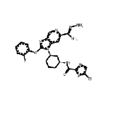 N/N=C(\N)c1cc2c(cn1)nc(Oc1ccccc1F)n2[C@@H]1CCC[C@H](NC(=O)c2ncc(Cl)s2)C1